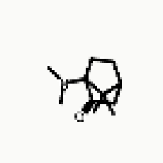 CN(C)C12CCC(CC1=O)C2(C)C